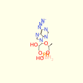 B[PH]1(O)OC[C@H](C)O[C@@H](n2cnc3c(N=[N+]=[N-])ncnc32)[C@@H](O)CO1